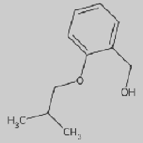 CC(C)COc1ccccc1CO